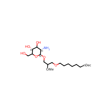 CCCCCCCCCCCCCCCCOCC(CO[C@H]1OC(CO)[C@H](O)C(O)[C@@H]1N)OC